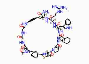 CC(=O)N[C@H]1Cc2cccc(c2)C2=N[C@@H](CS2)C(=O)N2CCC[C@H]2C(=O)N[C@H](CC2CCCCC2)C(=O)N[C@@H](Cc2c[nH]c3ccccc23)C(=O)N[C@@H](CCCNC(=N)N)C(=O)N[C@H](C(N)=O)Cc2ccc(cc2)NC(=O)CNC(=O)CNC1=O